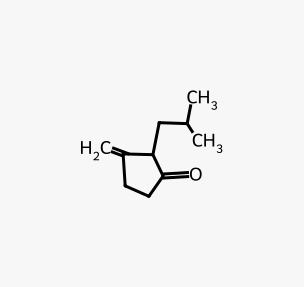 C=C1CCC(=O)C1CC(C)C